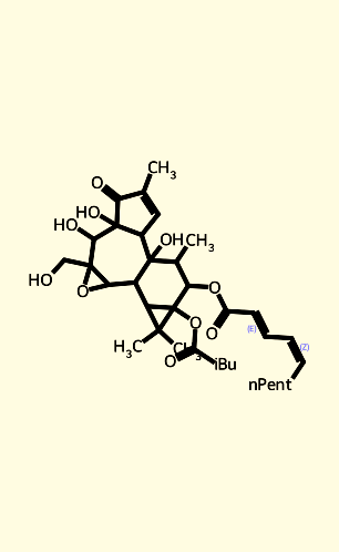 CCCCC/C=C\C=C\C(=O)OC1C(C)C2(O)C(C3OC3(CO)C(O)C3(O)C(=O)C(C)=CC32)C2C(C)(C)C12OC(=O)C(C)CC